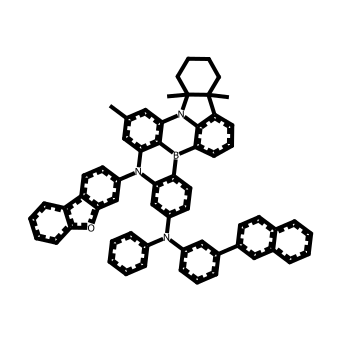 Cc1cc2c3c(c1)N1c4c(cccc4C4(C)CCCCC14C)B3c1ccc(N(c3ccccc3)c3cccc(-c4ccc5ccccc5c4)c3)cc1N2c1ccc2c(c1)oc1ccccc12